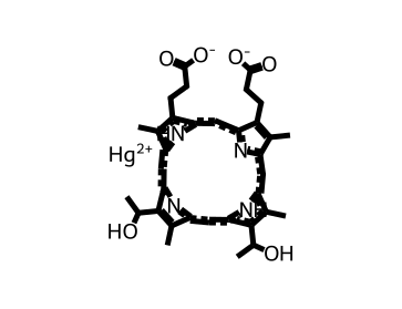 CC1=C(CCC(=O)[O-])c2cc3[nH]c(cc4nc(cc5[nH]c(cc1n2)c(C)c5C(C)O)C(C)=C4C(C)O)c(C)c3CCC(=O)[O-].[Hg+2]